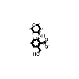 O=[N+]([O-])c1c(CO)cccc1NC1CCOCC1